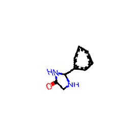 O=C1CN[C](c2ccccc2)N1